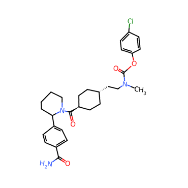 CN(CC[C@H]1CC[C@H](C(=O)N2CCCCC2c2ccc(C(N)=O)cc2)CC1)C(=O)Oc1ccc(Cl)cc1